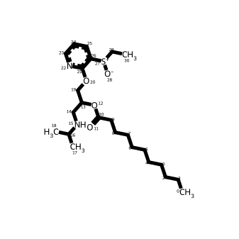 CCCCCCCCCCC(=O)OC(CNC(C)C)COc1ncccc1[S+]([O-])CC